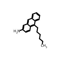 CCCCCCc1c2ccccc2cc2cc(N)ccc12